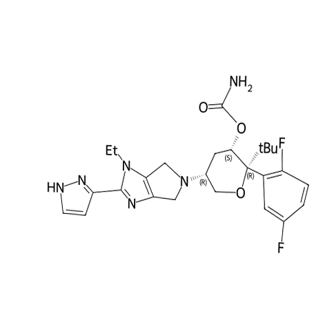 CCn1c(-c2cc[nH]n2)nc2c1CN([C@H]1CO[C@@](c3cc(F)ccc3F)(C(C)(C)C)[C@@H](OC(N)=O)C1)C2